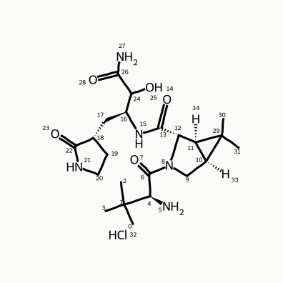 CC(C)(C)[C@H](N)C(=O)N1C[C@H]2[C@@H]([C@H]1C(=O)N[C@@H](C[C@@H]1CCNC1=O)C(O)C(N)=O)C2(C)C.Cl